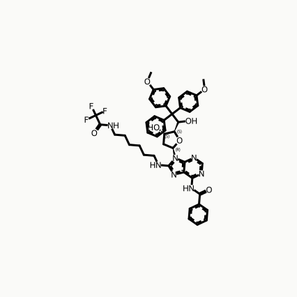 COc1ccc(C(c2ccccc2)(c2ccc(OC)cc2)C(O)[C@H]2O[C@@H](n3c(NCCCCCCNC(=O)C(F)(F)F)nc4c(NC(=O)c5ccccc5)ncnc43)C[C@@H]2O)cc1